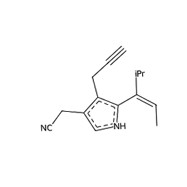 C#CCc1c(CC#N)c[nH]c1/C(=C\C)C(C)C